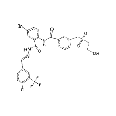 O=C(Nc1ccc(Br)cc1C(=O)NN=Cc1ccc(Cl)c(C(F)(F)F)c1)c1cccc(CS(=O)(=O)CCO)c1